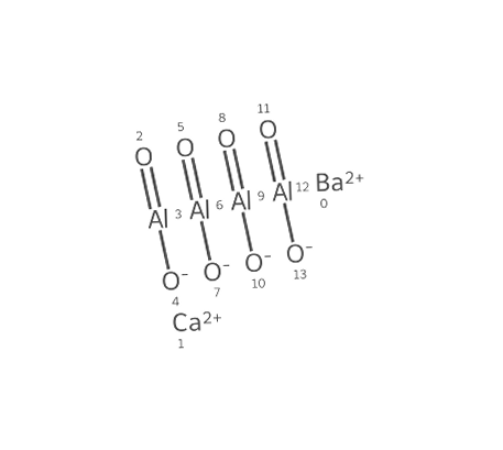 [Ba+2].[Ca+2].[O]=[Al][O-].[O]=[Al][O-].[O]=[Al][O-].[O]=[Al][O-]